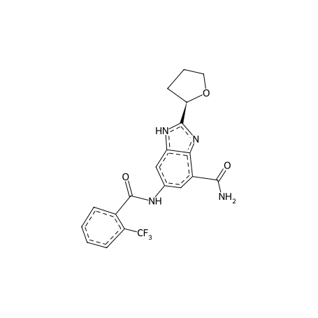 NC(=O)c1cc(NC(=O)c2ccccc2C(F)(F)F)cc2[nH]c([C@H]3CCCO3)nc12